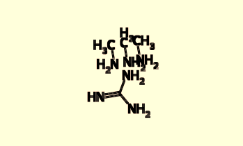 CN.CN.CN.N=C(N)N